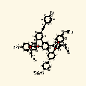 CCCc1ccc(C#Cc2cc(-c3cc(-c4ncc(N=C=S)cn4)ccc3C#Cc3ccc(CC(C)CC)cc3)c(-c3ncc(N=C=S)cn3)cc2-c2cc(C#Cc3ccc(CC)cc3)ccc2-c2ncc(N=C=S)cn2)cc1